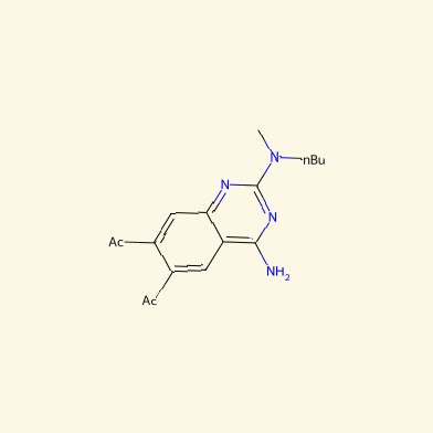 CCCCN(C)c1nc(N)c2cc(C(C)=O)c(C(C)=O)cc2n1